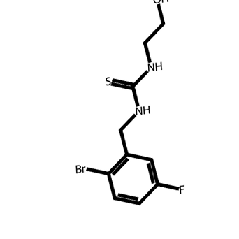 OCCNC(=S)NCc1cc(F)ccc1Br